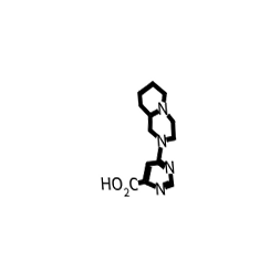 O=C(O)c1cc(N2CCN3CCCCC3C2)ncn1